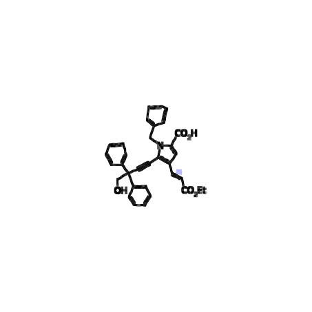 CCOC(=O)/C=C/c1cc(C(=O)O)n(Cc2ccccc2)c1C#CC(CO)(c1ccccc1)c1ccccc1